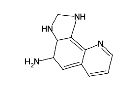 NC1C=c2cccnc2=C2NCNC21